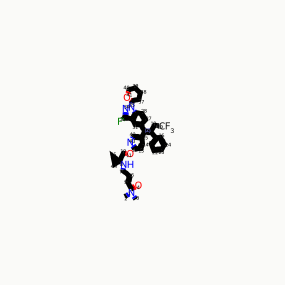 CN(C)C(=O)C=CCNC1(COc2ccc(/C(=C(/CC(F)(F)F)c3ccccc3)c3ccc4c(c3)c(F)nn4C3CCCCO3)cn2)CC1